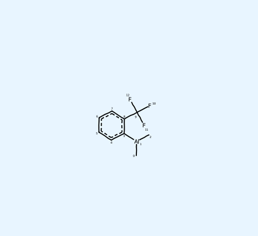 [CH3][Al]([CH3])[c]1ccccc1C(F)(F)F